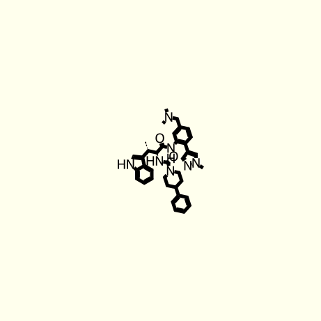 C[C@@H](c1c[nH]c2ccccc12)[C@@H](NC(=O)N1CCC(c2ccccc2)CC1)C(=O)Nc1cc(CN(C)C)ccc1-c1cnn(C)c1